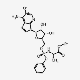 CC(C)OC(=O)[C@@H](C)NP(=O)(OC[C@H]1O[C@@H](n2cnc3c(N)[n+]([O-])cnc32)[C@H](O)[C@@H]1O)Oc1ccccc1